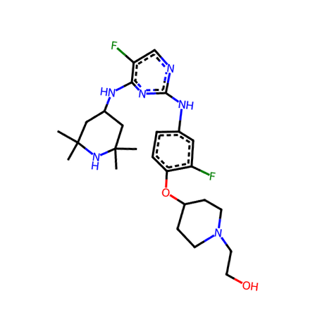 CC1(C)CC(Nc2nc(Nc3ccc(OC4CCN(CCO)CC4)c(F)c3)ncc2F)CC(C)(C)N1